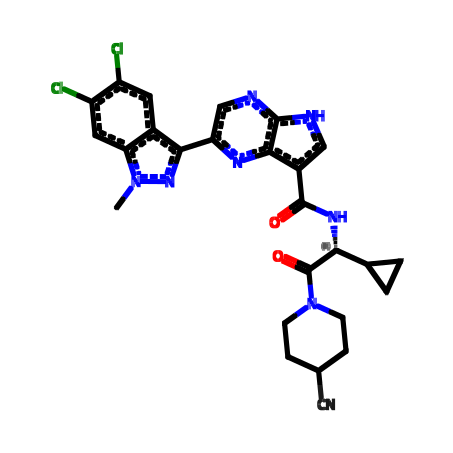 Cn1nc(-c2cnc3[nH]cc(C(=O)N[C@@H](C(=O)N4CCC(C#N)CC4)C4CC4)c3n2)c2cc(Cl)c(Cl)cc21